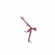 CCCCCCCCCCCCCCCCCOCNCCCOCC(COCCC/N=C/OCC)(COCCCNCOCCCCCCCCCCCCCCCCC)COCCC(=O)ON1C(=O)CCC1=O